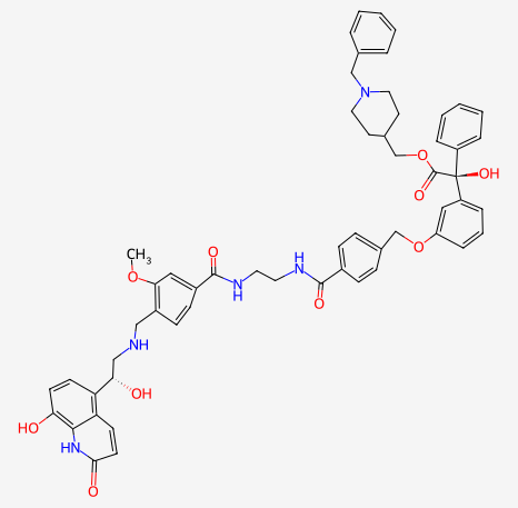 COc1cc(C(=O)NCCNC(=O)c2ccc(COc3cccc([C@](O)(C(=O)OCC4CCN(Cc5ccccc5)CC4)c4ccccc4)c3)cc2)ccc1CNC[C@H](O)c1ccc(O)c2[nH]c(=O)ccc12